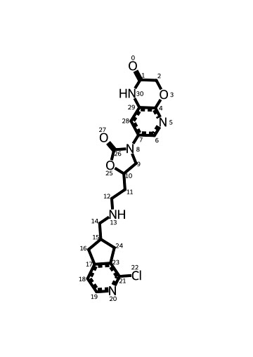 O=C1COc2ncc(N3CC(CCNCC4Cc5ccnc(Cl)c5C4)OC3=O)cc2N1